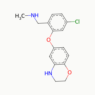 CNCc1ccc(Cl)cc1Oc1ccc2c(c1)NCCO2